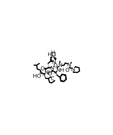 CC(C)CC[C@H](O)[C@H](CC1CCCCC1)NC(=O)[C@H](Cc1c[nH]cn1)N(C)C(=O)[C@H](Cc1ccccc1)NC(=O)N(C)CCN(C)C(=O)N1CCCCC1.Cl